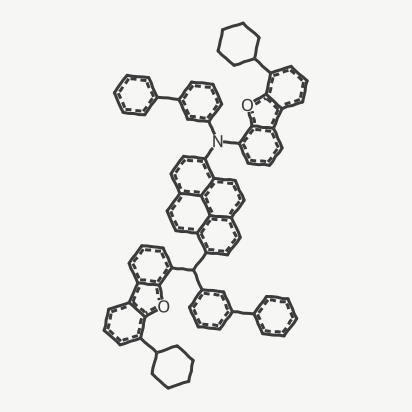 c1ccc(-c2cccc(C(c3ccc4ccc5c(N(c6cccc(-c7ccccc7)c6)c6cccc7c6oc6c(C8CCCCC8)cccc67)ccc6ccc3c4c65)c3cccc4c3oc3c(C5CCCCC5)cccc34)c2)cc1